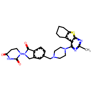 Cc1nc(N2CCN(Cc3ccc4c(c3)CN(N3CCC(=O)NC3=O)C4=O)CC2)c2c3c(sc2n1)CCCC3